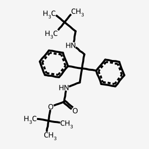 CC(C)(C)CNCC(CNC(=O)OC(C)(C)C)(c1ccccc1)c1ccccc1